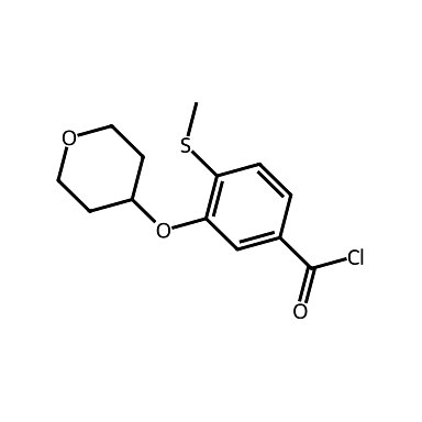 CSc1ccc(C(=O)Cl)cc1OC1CCOCC1